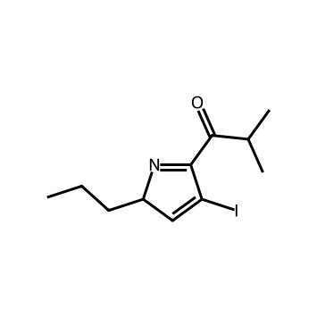 CCCC1C=C(I)C(C(=O)C(C)C)=N1